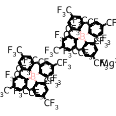 FC(F)(F)c1cc(C(F)(F)F)c([B-](c2c(C(F)(F)F)cc(C(F)(F)F)cc2C(F)(F)F)(c2c(C(F)(F)F)cc(C(F)(F)F)cc2C(F)(F)F)c2c(C(F)(F)F)cc(C(F)(F)F)cc2C(F)(F)F)c(C(F)(F)F)c1.FC(F)(F)c1cc(C(F)(F)F)c([B-](c2c(C(F)(F)F)cc(C(F)(F)F)cc2C(F)(F)F)(c2c(C(F)(F)F)cc(C(F)(F)F)cc2C(F)(F)F)c2c(C(F)(F)F)cc(C(F)(F)F)cc2C(F)(F)F)c(C(F)(F)F)c1.[Mg+2]